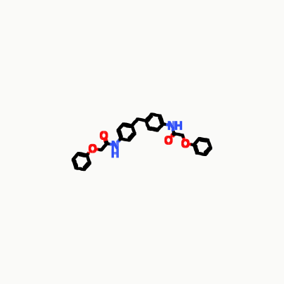 O=C(COc1ccccc1)Nc1ccc(Cc2ccc(NC(=O)COc3ccccc3)cc2)cc1